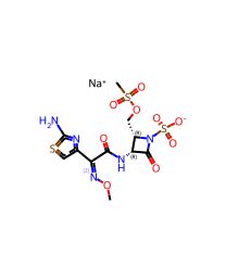 CO/N=C(\C(=O)N[C@H]1C(=O)N(S(=O)(=O)[O-])[C@H]1COS(C)(=O)=O)c1csc(N)n1.[Na+]